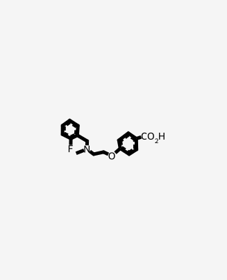 CN(CCOc1ccc(C(=O)O)cc1)Cc1ccccc1F